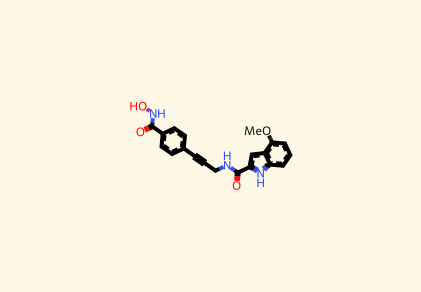 COc1cccc2[nH]c(C(=O)NCC#Cc3ccc(C(=O)NO)cc3)cc12